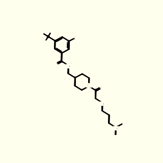 CN(C)CCCNCC(=O)N1CCC(CNC(=O)c2cc(F)cc(C(F)(F)F)c2)CC1